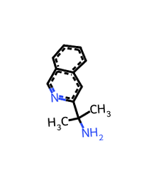 CC(C)(N)c1cc2ccccc2cn1